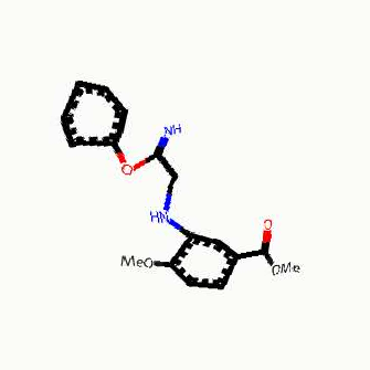 COC(=O)c1ccc(OC)c(NCC(=N)Oc2ccccc2)c1